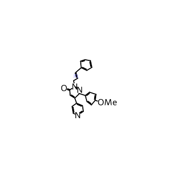 COc1ccc(-c2nn(C/C=C/c3ccccc3)c(=O)cc2-c2ccncc2)cc1